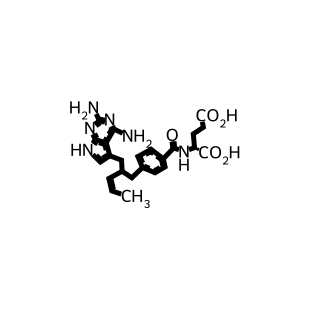 C/C=C\C(Cc1ccc(C(=O)N[C@@H](CCC(=O)O)C(=O)O)cc1)Cc1c[nH]c2nc(N)nc(N)c12